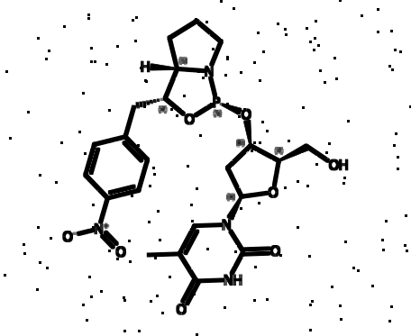 Cc1cn([C@H]2C[C@@H](O[P@@]3O[C@H](Cc4ccc([N+](=O)[O-])cc4)[C@@H]4CCCN43)[C@@H](CO)O2)c(=O)[nH]c1=O